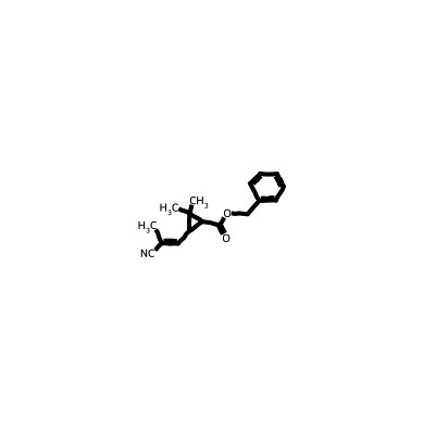 CC(C#N)=CC1C(C(=O)OCc2ccccc2)C1(C)C